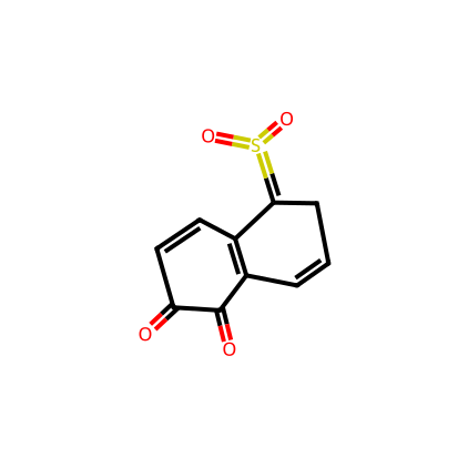 O=C1C=CC2=C(C=CCC2=S(=O)=O)C1=O